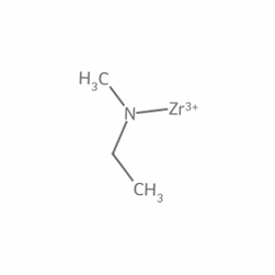 CC[N](C)[Zr+3]